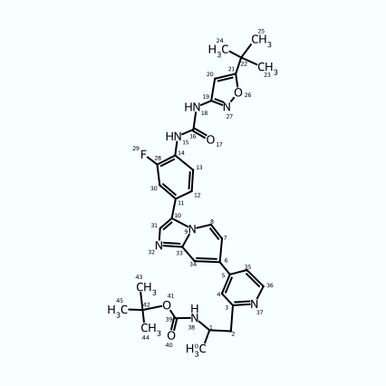 CC(Cc1cc(-c2ccn3c(-c4ccc(NC(=O)Nc5cc(C(C)(C)C)on5)c(F)c4)cnc3c2)ccn1)NC(=O)OC(C)(C)C